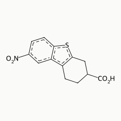 O=C(O)C1CCc2c(sc3ccc([N+](=O)[O-])cc23)C1